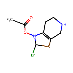 O=C(ON1C2=C(CNCC2)SC1Br)C(F)(F)F